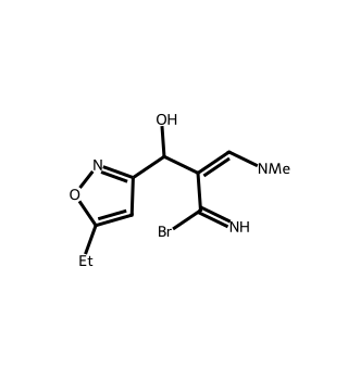 CCc1cc(C(O)/C(=C/NC)C(=N)Br)no1